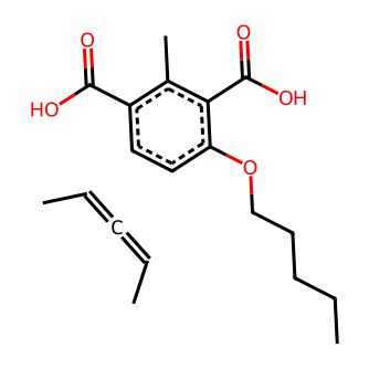 CC=C=CC.CCCCCOc1ccc(C(=O)O)c(C)c1C(=O)O